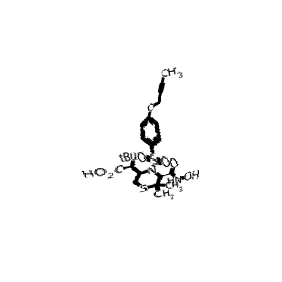 CC#CCOc1ccc(S(=O)(=O)N2C([C@@H](C(=O)O)C(C)(C)C)CSC(C)(C)[C@@H]2C(=O)NO)cc1